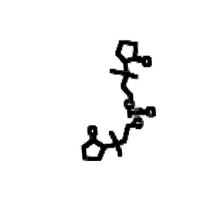 CC(C)(CCO[PH](=O)OCCC(C)(C)C1CCCC1=O)C1CCCC1=O